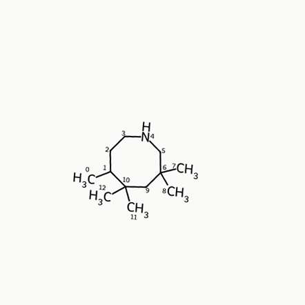 CC1CCNCC(C)(C)CC1(C)C